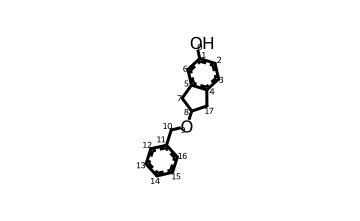 Oc1ccc2c(c1)CC(OCc1ccccc1)C2